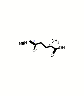 N#[N+]/C=C(\[O-])CC[C@H](N)C(=O)O